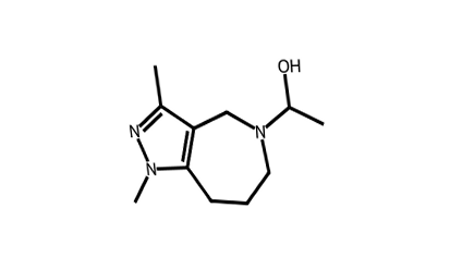 Cc1nn(C)c2c1CN(C(C)O)CCC2